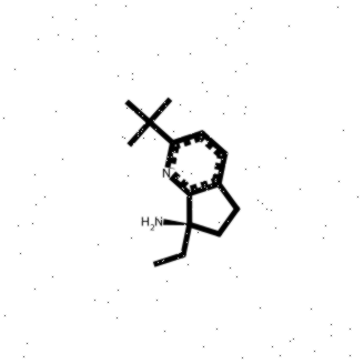 CC[C@@]1(N)CCc2ccc(C(C)(C)C)nc21